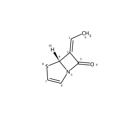 C/C=C1\C(=O)N2C=CS[C@H]12